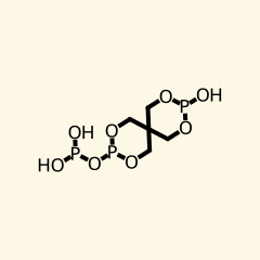 OP(O)OP1OCC2(COP(O)OC2)CO1